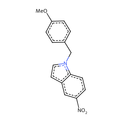 COc1ccc(Cn2ccc3cc([N+](=O)[O-])ccc32)cc1